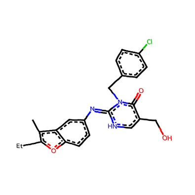 CCc1oc2ccc(/N=c3\[nH]cc(CO)c(=O)n3Cc3ccc(Cl)cc3)cc2c1C